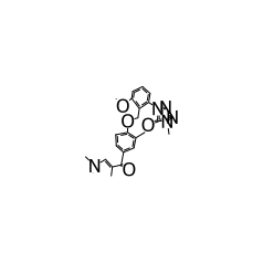 COc1cccc(-n2nnn(C)c2=O)c1COc1ccc(C(=O)C(C)=CN(C)C)cc1C